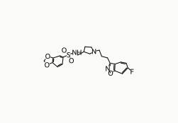 O=S(=O)(NCC1CCN(CCCc2noc3cc(F)ccc23)C1)c1ccc2c(c1)OCO2